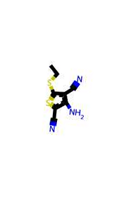 CCSc1sc(C#N)c(N)c1C#N